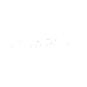 CC1(C)CC(OC(=O)c2ccc(-c3ccc(C(=O)OC4CC(C)(C)NC4(C)C)c(F)c3)c(F)c2)C(C)(C)N1